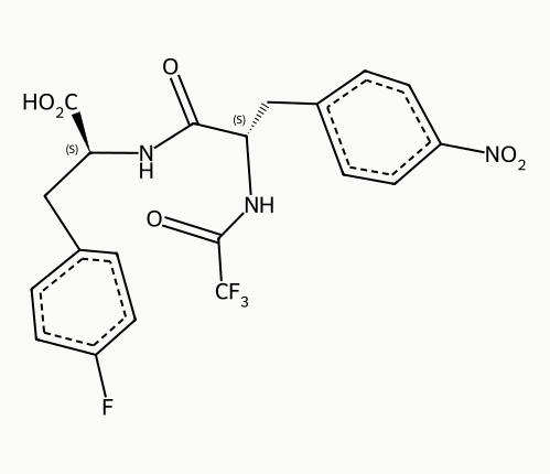 O=C(O)[C@H](Cc1ccc(F)cc1)NC(=O)[C@H](Cc1ccc([N+](=O)[O-])cc1)NC(=O)C(F)(F)F